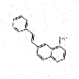 O=C(O)c1ccnc2ccc(C=Cc3cccnc3)cc12